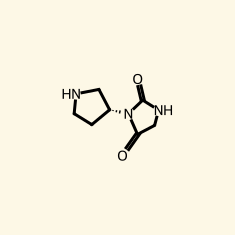 O=C1CNC(=O)N1[C@@H]1CCNC1